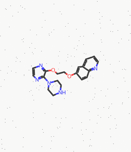 c1cnc2ccc(OCCOc3nccnc3N3CCNCC3)cc2c1